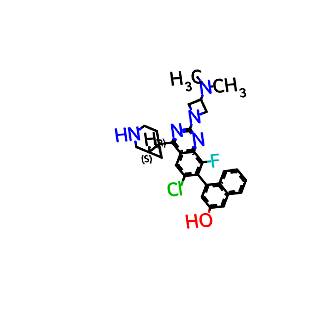 CN(C)C1CN(c2nc([C@]34CCNC[C@H]3C4)c3cc(Cl)c(-c4cc(O)cc5ccccc45)c(F)c3n2)C1